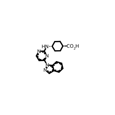 O=C(O)[C@H]1CC[C@H](Nc2nccc(-n3ncc4ccccc43)n2)CC1